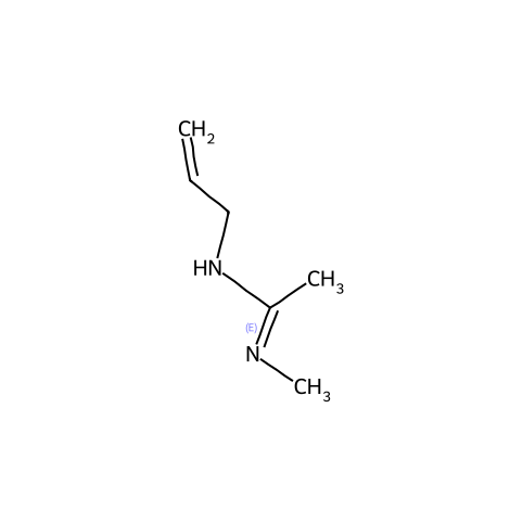 C=CCN/C(C)=N/C